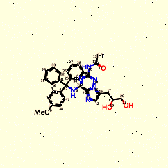 COc1ccc(C(Nc2nc(NC(=O)C(C)C)nn3c(CC(O)CO)cnc23)(c2ccccc2)c2ccccc2)cc1